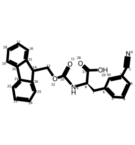 N#Cc1cccc(C[C@@H](NC(=O)OCC2c3ccccc3-c3ccccc32)C(=O)O)c1